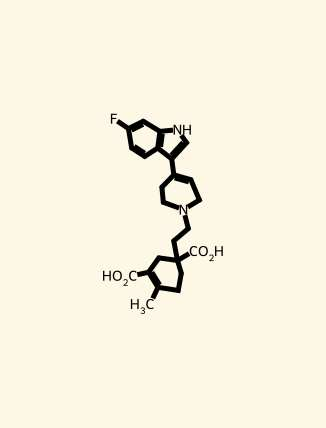 CC1=C(C(=O)O)CC(CCN2CC=C(c3c[nH]c4cc(F)ccc34)CC2)(C(=O)O)CC1